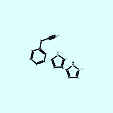 N#CCc1ccccc1.c1ccsc1.c1cn[nH]c1